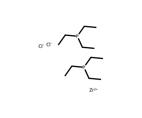 CCP(CC)CC.CCP(CC)CC.[Cl-].[Cl-].[Zr+2]